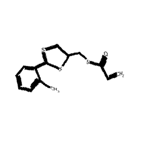 C=CC(=O)SCC1CSC(c2ccccc2C)S1